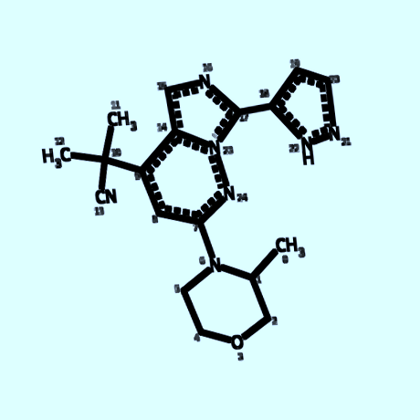 CC1COCCN1c1cc(C(C)(C)C#N)c2cnc(-c3ccn[nH]3)n2n1